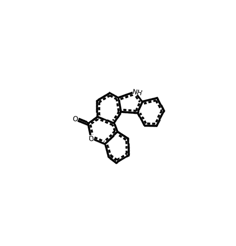 O=c1oc2ccccc2c2c1ccc1[nH]c3ccccc3c12